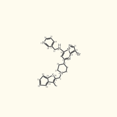 Cc1c(CN2CCC(c3cc(NCc4cccnc4)n4ncc(Br)c4n3)CC2)sc2ccccc12